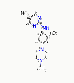 CCc1cc(N2CCN(C)CC2)ccc1Nc1ncc(C#N)cn1